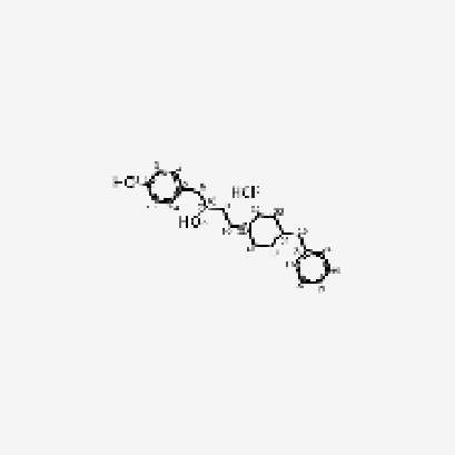 Cl.Oc1ccc(C[C@@H](O)CCN2CCC(Cc3ccccc3)CC2)cc1